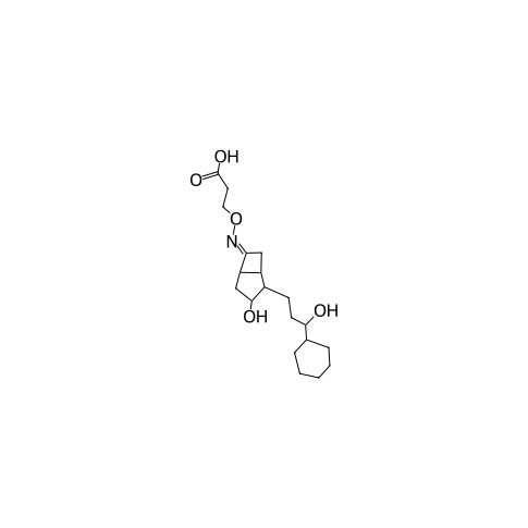 O=C(O)CCON=C1CC2C1CC(O)C2CCC(O)C1CCCCC1